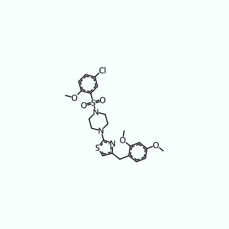 COc1ccc(Cc2csc(N3CCN(S(=O)(=O)c4cc(Cl)ccc4OC)CC3)n2)c(OC)c1